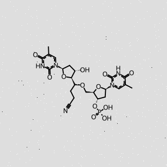 Cc1cn([C@H]2C[C@H](O)[C@@H](C(CCC#N)OC[C@H]3O[C@@H](n4cc(C)c(=O)[nH]c4=O)C[C@@H]3OP(=O)(O)O)O2)c(=O)[nH]c1=O